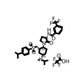 CC(C)c1ccc(S(=O)(=O)C[C@@H]2C[C@H](N(C)C(C)C)CC[C@@H]2N2CC[C@H](NC(=O)c3cccc(C(F)(F)F)c3)C2=O)cc1.O=C(O)C(F)(F)F